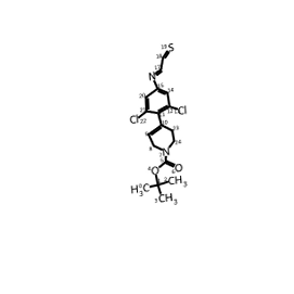 CC(C)(C)OC(=O)N1CC=C(c2c(Cl)cc(N=CC=S)cc2Cl)CC1